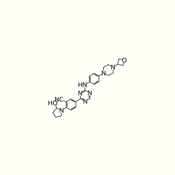 N#Cc1cc(-c2ncnc(Nc3ccc(N4CCN(C5COC5)CC4)cc3)n2)ccc1N1CCCC1O